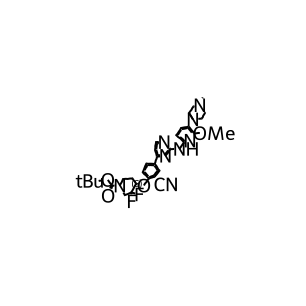 COc1nc(Nc2nccc(-c3ccc(O[C@H]4CCN(C(=O)OC(C)(C)C)CC4(F)F)c(C#N)c3)n2)ccc1N1CCN(C)CC1